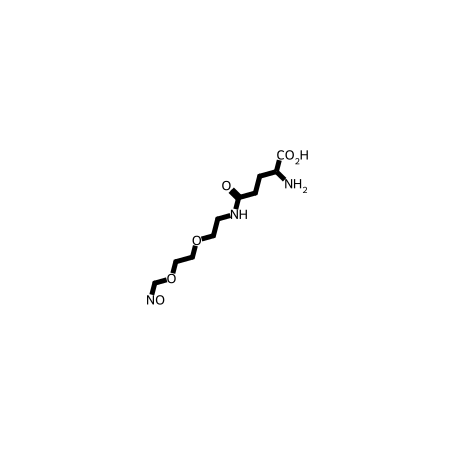 NC(CCC(=O)NCCOCCOCN=O)C(=O)O